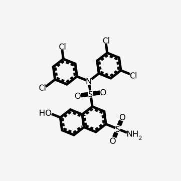 NS(=O)(=O)c1cc(S(=O)(=O)N(c2cc(Cl)cc(Cl)c2)c2cc(Cl)cc(Cl)c2)c2cc(O)ccc2c1